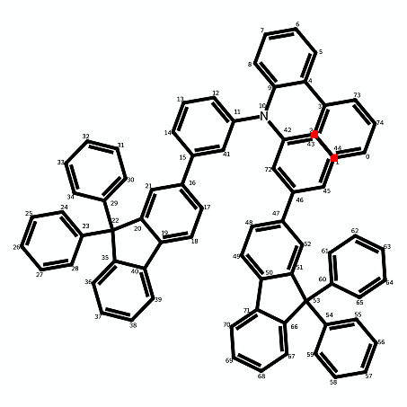 c1ccc(-c2ccccc2N(c2cccc(-c3ccc4c(c3)C(c3ccccc3)(c3ccccc3)c3ccccc3-4)c2)c2cccc(-c3ccc4c(c3)C(c3ccccc3)(c3ccccc3)c3ccccc3-4)c2)cc1